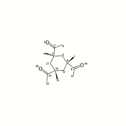 CC(=O)[C@]1(C)C[C@](C)(C(C)=O)C[C@](C)(C(C)=O)C1